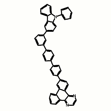 c1ccc(-n2c3ccccc3c3cc(-c4cccc(-c5ccc(-c6ccc(-c7ccc8c(c7)c7ccccc7c7nccnc87)cc6)cc5)c4)ccc32)cc1